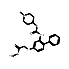 CN1CCC(OC(=O)Nc2cc(OCC(=O)OC(C)(C)C)ccc2-c2ccccc2)CC1